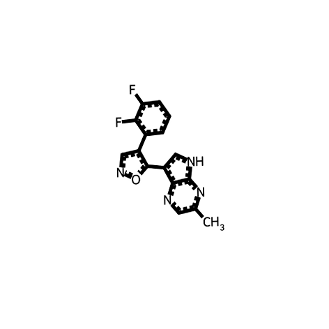 Cc1cnc2c(-c3oncc3-c3cccc(F)c3F)c[nH]c2n1